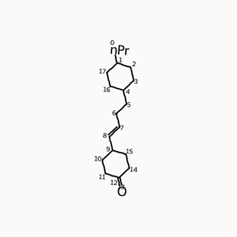 CCCC1CCC(CCC=CC2CCC(=O)CC2)CC1